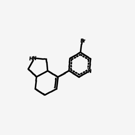 Brc1cncc(C2=CCCC3CNCC23)c1